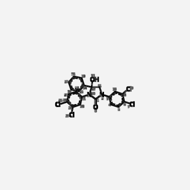 O=C1N(c2ccc(Cl)c(Cl)c2)CC(O)(c2ccccc2)N1c1ccc(Cl)c(Cl)c1